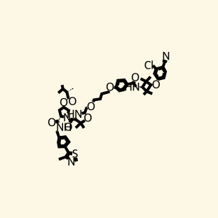 Cc1ncsc1-c1ccc(CNC(=O)[C@@H]2C[C@H](OC(=O)[C@@H](C)C(C)C)CN2C(=O)[C@@H](NC(=O)COCCCCOc2ccc(C(=O)N[C@H]3C(C)(C)[C@H](Oc4ccc(C#N)c(Cl)c4)C3(C)C)cc2)C(C)(C)C)cc1